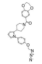 [N-]=[N+]=NCOc1ccc(-n2cccc2C2CCN(C(=O)c3ccc4c(c3)OCCO4)CC2)cc1